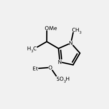 CCOS(=O)(=O)O.COC(C)c1nccn1C